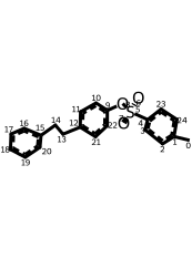 Cc1ccc(S(=O)(=O)Oc2ccc(CCc3ccccc3)cc2)cc1